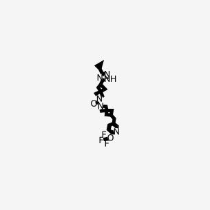 O=C(N1CC2(CC(Cc3ccc(OC(F)(F)F)nc3)C2)C1)N1CC2(CC(c3nc(C4CC4)n[nH]3)C2)C1